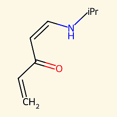 C=CC(=O)/C=C\NC(C)C